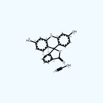 N#CO.O=C1OC2(c3ccc(O)cc3Oc3cc(O)ccc32)c2ccccc21